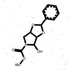 CC(C)(C)OC(=O)N1CC2OC(c3ccccc3)OC2C1O